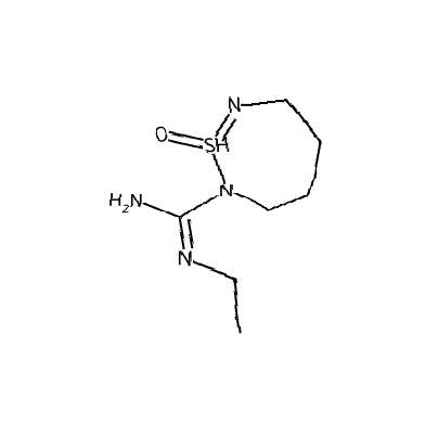 CC/N=C(/N)N1CCCCN=[SH]1=O